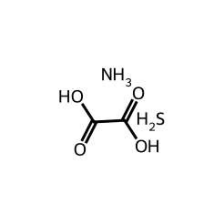 N.O=C(O)C(=O)O.S